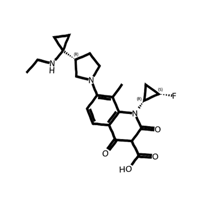 CCNC1([C@@H]2CCN(c3ccc4c(c3C)N([C@@H]3C[C@@H]3F)C(=O)C(C(=O)O)C4=O)C2)CC1